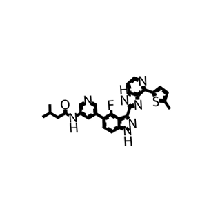 Cc1ccc(-c2nccc3[nH]c(-c4n[nH]c5ccc(-c6cncc(NC(=O)CC(C)C)c6)c(F)c45)nc23)s1